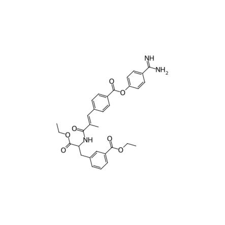 CCOC(=O)c1cccc(CC(NC(=O)/C(C)=C/c2ccc(C(=O)Oc3ccc(C(=N)N)cc3)cc2)C(=O)OCC)c1